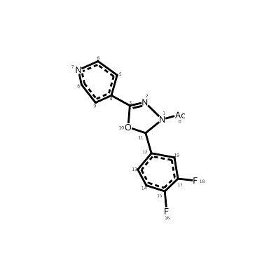 CC(=O)N1N=C(c2ccncc2)OC1c1ccc(F)c(F)c1